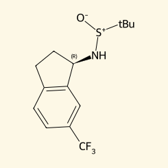 CC(C)(C)[S+]([O-])N[C@@H]1CCc2ccc(C(F)(F)F)cc21